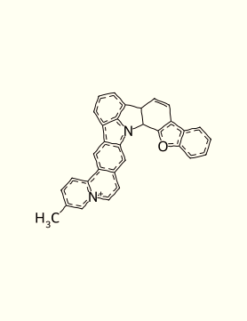 Cc1ccc2c3cc4c5cccc6c5n(c4cc3cc[n+]2c1)C1c2oc3ccccc3c2C=CC61